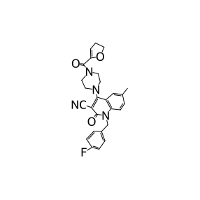 Cc1ccc2c(c1)c(N1CCN(C(=O)C3=CCCO3)CC1)c(C#N)c(=O)n2Cc1ccc(F)cc1